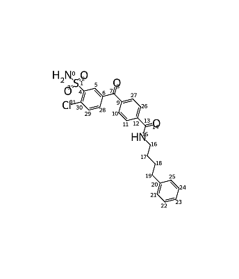 NS(=O)(=O)c1cc(C(=O)c2ccc(C(=O)NCCCCc3ccccc3)cc2)ccc1Cl